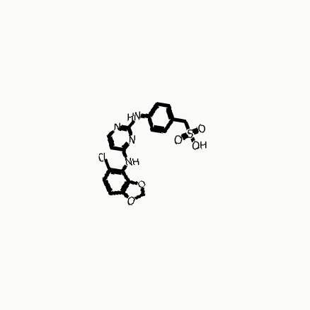 O=S(=O)(O)Cc1ccc(Nc2nccc(Nc3c(Cl)ccc4c3OCO4)n2)cc1